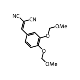 COCOc1ccc(C=C(C#N)C#N)cc1OCOC